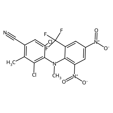 Cc1c(C#N)cc(Cl)c(N(C)c2c([N+](=O)[O-])cc([N+](=O)[O-])cc2C(F)(F)F)c1Cl